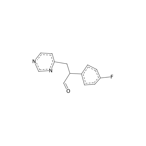 O=CC(Cc1ccncn1)c1ccc(F)cc1